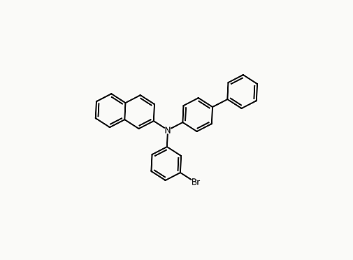 Brc1cccc(N(c2ccc(-c3ccccc3)cc2)c2ccc3ccccc3c2)c1